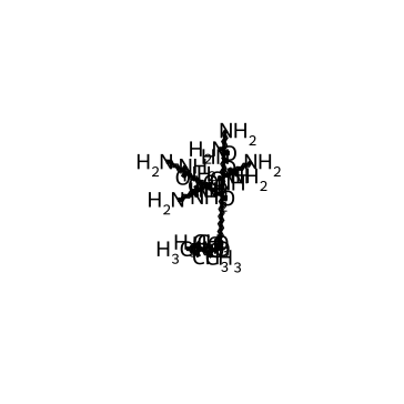 Cc1cc(C)c(-c2cc(C)c(OP(=O)(O)OCCCCCCCCCCCC(=O)N(CCNC(=O)C(CCCCNC(=O)C(N)CCCCN)NC(=O)C(N)CCCCN)CCNC(=O)C(CCCCNC(=O)C(N)CCCCN)NC(=O)C(N)CCCCN)cc2C)c(C)c1